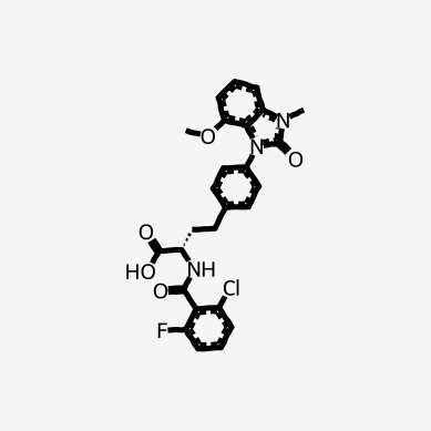 COc1cccc2c1n(-c1ccc(CC[C@H](NC(=O)c3c(F)cccc3Cl)C(=O)O)cc1)c(=O)n2C